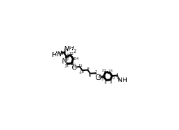 N=Cc1ccc(OCCCCCOc2ccc(C(=N)N)nc2)cc1